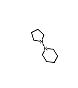 [CH]1CCCN1N1CCCCC1